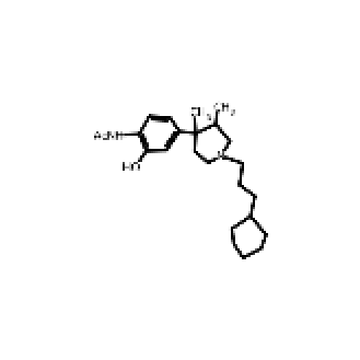 CC(=O)Nc1ccc(C2(C)CCN(CCCC3CCCCC3)CC2C)cc1O